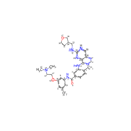 Cc1ccc(C(=O)Nc2cc(OCCN(C)C)cc(C(F)(F)F)c2)cc1Nc1ncnc2cnc(NCC3CCOC3)nc12